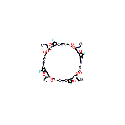 CC/C=C\C[C@@H]1C/C=C2/C(=O)C(F)=CC2C/C=C\CCCC(=O)O[C@@H](C/C=C\CC)C/C=C2/C(=O)C(F)=C[C@@H]2C/C=C\CCCC(=O)O[C@H](C/C=C\CC)C/C=C2/C(=O)C(F)=CC2C/C=C\CCCC(=O)O[C@@H](C/C=C\CC)C/C=C2/C(=O)C(F)=C[C@@H]2C/C=C\CCCC(=O)O1